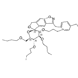 CCCCOC[C@H]1O[C@]2(OCc3cc4onc(Cc5ccc(CC)cc5)c4cc32)[C@H](OCCCC)[C@@H](OCCCC)[C@@H]1OCCCC